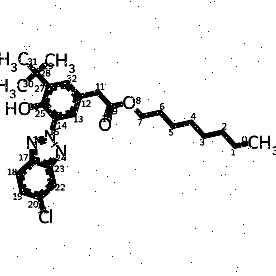 CCCCCCCCOC(=O)Cc1cc(-n2nc3ccc(Cl)cc3n2)c(O)c(C(C)(C)C)c1